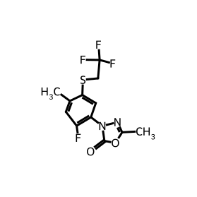 Cc1nn(-c2cc(SCC(F)(F)F)c(C)cc2F)c(=O)o1